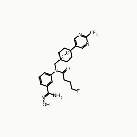 N/C(=N\O)c1cccc(N(CC23CCC(c4cnc(C(F)(F)F)nc4)(CC2)OC3)C(=O)CCCF)c1